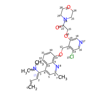 C=C/C=C(/c1cc(C)nc2c(OCc3c(Cl)cncc3OCC(=O)N3CCOCC3)cccc12)N(C)C